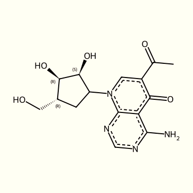 CC(=O)c1cn(C2C[C@H](CO)[C@@H](O)[C@H]2O)c2ncnc(N)c2c1=O